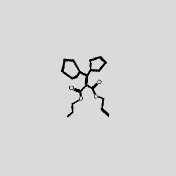 CCCOC(=O)C(C(=O)OCCC)=C(C1CCCC1)C1CCCC1